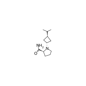 CC(C)[C@H]1C[C@H](N2CCC[C@H]2C(N)=O)C1